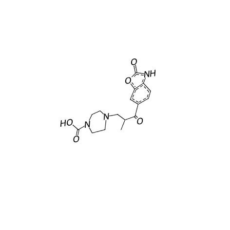 CC(CN1CCN(C(=O)O)CC1)C(=O)c1ccc2[nH]c(=O)oc2c1